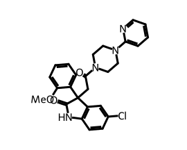 COc1ccccc1C1(CC(=O)N2CCN(c3ccccn3)CC2)C(=O)Nc2ccc(Cl)cc21